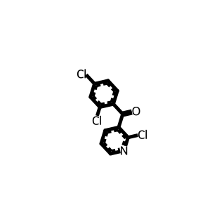 O=C(c1ccc(Cl)cc1Cl)c1cccnc1Cl